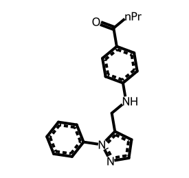 CCCC(=O)c1ccc(NCc2ccnn2-c2ccccc2)cc1